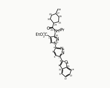 CCOC(=O)c1cn(-c2ccc(-c3cc4ccccc4o3)nn2)nc1N(C(=O)C1CCC(C)CC1)C(C)C